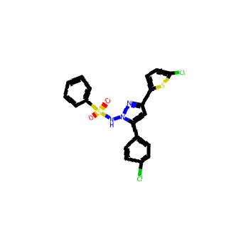 O=S(=O)(Nn1nc(-c2ccc(Cl)s2)cc1-c1ccc(Cl)cc1)c1ccccc1